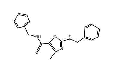 Cc1nc(NCc2ccccc2)sc1C(=O)NCc1ccccc1